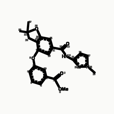 COC(=O)c1cccc(Oc2cc(C(=O)Nc3ccn(C)n3)cc3c2CC(C)(C)O3)c1